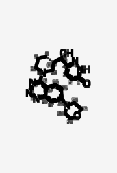 O=c1ccc([C@@H](O)[C@H]2CCCN(c3nnnc4cc(N5CCOCC5)ccc34)C2)n[nH]1